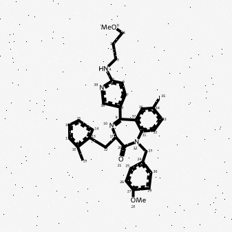 COCCCNc1ccc(C2=NC(Cc3ccccc3C)C(=O)N(Cc3ccc(OC)cc3)c3ccc(I)cc32)cn1